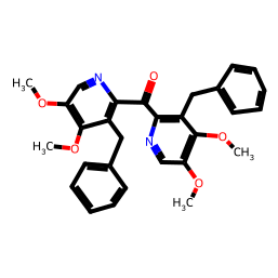 COc1cnc(C(=O)c2ncc(OC)c(OC)c2Cc2ccccc2)c(Cc2ccccc2)c1OC